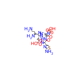 NCC[C@H](N)c1cnn(C[C@H]2[C@H](NC(=O)C(=NOC3(C(=O)O)CC3)c3csc(N)n3)C(=O)N2S(=O)(=O)O)n1